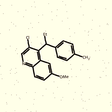 [CH2]CC(c1ccc([CH2])cc1)c1c(Cl)cnc2ccc(OC)cc12